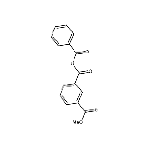 COC(=O)c1cccc(C(=O)OC(=O)c2ccccc2)c1